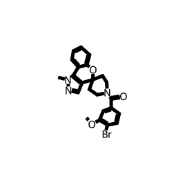 COc1cc(C(=O)N2CCC3(CC2)Oc2ccccc2-c2c3cnn2C)ccc1Br